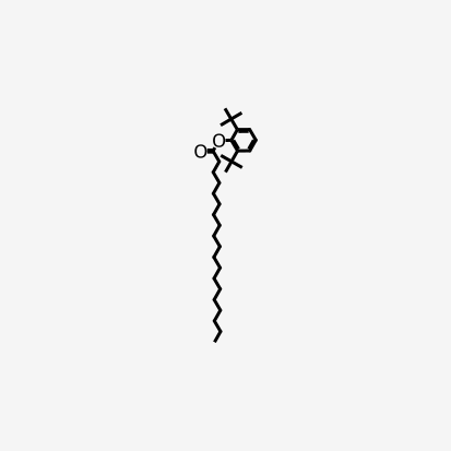 CCCCCCCCCCCCCCCCCCC(=O)Oc1c(C(C)(C)C)cccc1C(C)(C)C